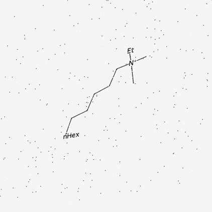 CCCCCCCCCCC[N+](C)(C)CC